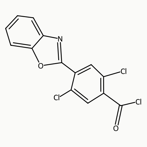 O=C(Cl)c1cc(Cl)c(-c2nc3ccccc3o2)cc1Cl